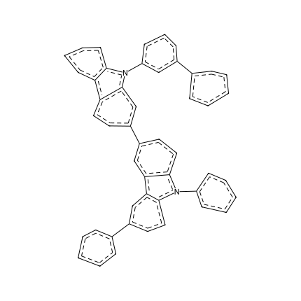 c1ccc(-c2cccc(-n3c4ccccc4c4ccc(-c5ccc6c(c5)c5cc(-c7ccccc7)ccc5n6-c5ccccc5)cc43)c2)cc1